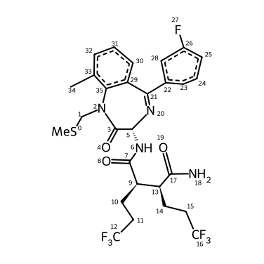 CSCN1C(=O)[C@@H](NC(=O)[C@H](CCC(F)(F)F)[C@H](CCC(F)(F)F)C(N)=O)N=C(c2cccc(F)c2)c2cccc(C)c21